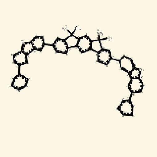 CC1(C)c2cc(-c3ccc4oc5ccc(-c6ccccc6)cc5c4c3)ccc2-c2cc3c(cc21)C(C)(C)c1cc(C2C=c4c(oc5ccc(-c6ccccc6)cc45)=CC2)ccc1-3